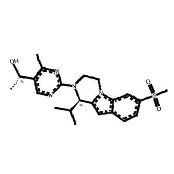 Cc1nc(N2CCn3c(cc4ccc(S(C)(=O)=O)cc43)[C@H]2C(C)C)ncc1[C@H](C)O